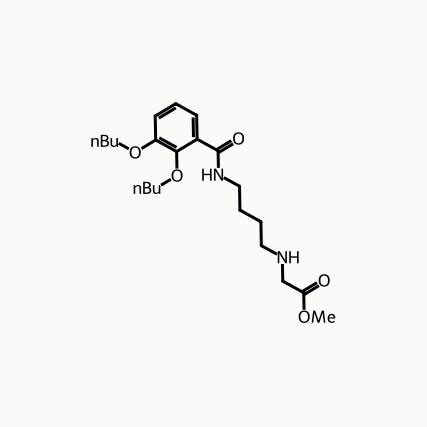 CCCCOc1cccc(C(=O)NCCCCNCC(=O)OC)c1OCCCC